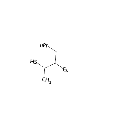 CCCCC(CC)C(C)S